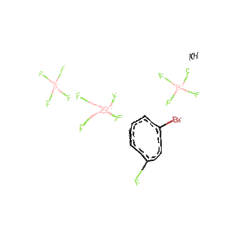 F[B-](F)(F)F.F[B-](F)(F)F.F[B-](F)(F)F.Fc1cccc(Br)c1.[KH]